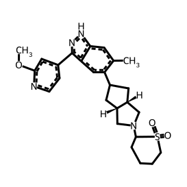 COc1cc(-c2n[nH]c3cc(C)c(C4C[C@@H]5CN(C6CCCCS6(=O)=O)C[C@@H]5C4)cc23)ccn1